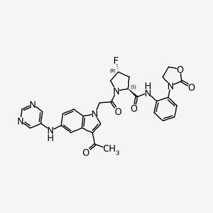 CC(=O)c1cn(CC(=O)N2C[C@H](F)C[C@H]2C(=O)Nc2ccccc2N2CCOC2=O)c2ccc(Nc3cncnc3)cc12